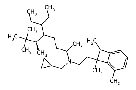 CCC(CC)C(CCC(C)N(CCC1(C)c2c(C)cccc2C1C)CC1CC1)[C@@H](C)C(C)(C)C